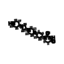 O=C1CCN(c2ccc(N3CCN(C4CN(C5CCNCC5)C4)CC3)cc2)C(=O)N1